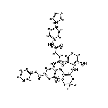 CC1(C)CC(=O)C2=C(C1)NC1=C(O)CCC=C1N(C(=O)CCC(=O)Nc1ccc(-n3cccc3)cc1)[C@H]2c1ccc(OCc2ccccc2)cc1Cl